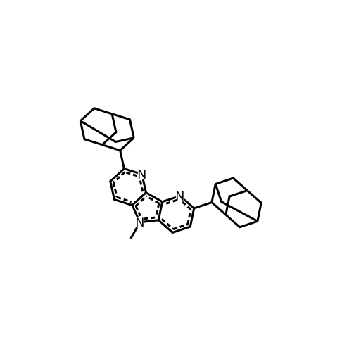 Cn1c2ccc(C3C4CC5CC(C4)CC3C5)nc2c2nc(C3C4CC5CC(C4)CC3C5)ccc21